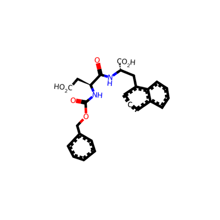 O=C(O)C[C@H](NC(=O)OCc1ccccc1)C(=O)N[C@@H](Cc1cccc2ccccc12)C(=O)O